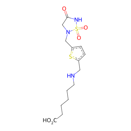 O=C(O)CCCCCNCc1ccc(CN2CC(=O)NS2(=O)=O)s1